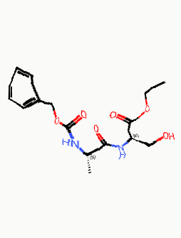 CCOC(=O)[C@@H](CO)NC(=O)[C@H](C)NC(=O)OCc1ccccc1